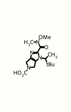 CON(C)C(=O)c1nc2c(n1C(C)C(C)(C)C)CN(C(=O)O)C2